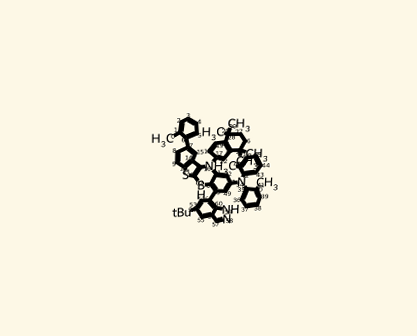 Cc1ccccc1-c1ccc2sc3c(c2c1)N(c1ccc2c(c1)C(C)(C)CCC2(C)C)c1cc(N(c2ccccc2C)c2ccccc2C)cc(-c2cc(C(C)(C)C)cc4cn[nH]c24)c1B3